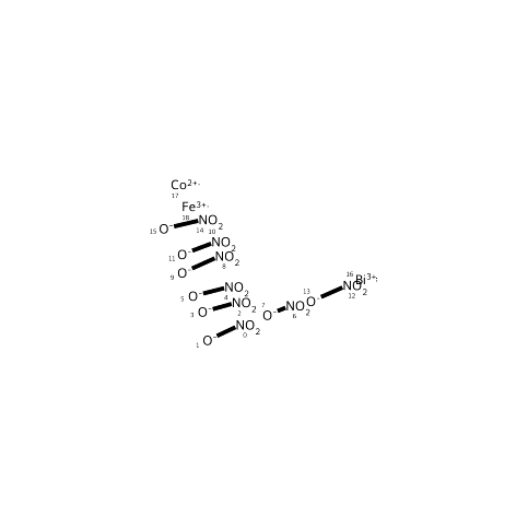 O=[N+]([O-])[O-].O=[N+]([O-])[O-].O=[N+]([O-])[O-].O=[N+]([O-])[O-].O=[N+]([O-])[O-].O=[N+]([O-])[O-].O=[N+]([O-])[O-].O=[N+]([O-])[O-].[Bi+3].[Co+2].[Fe+3]